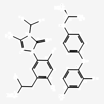 CCOC(=O)C(Cl)Cc1cc(-n2nc(C)n(C(F)F)c2=O)c(F)cc1Cl.C[C@@H](Oc1ccc(Oc2ccc(C#N)cc2F)cc1)C(=O)O